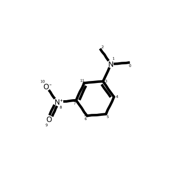 CN(C)C1=CC[CH]C([N+](=O)[O-])=C1